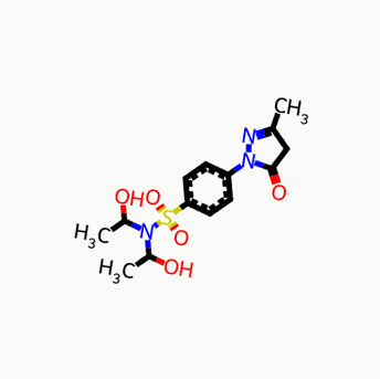 CC1=NN(c2ccc(S(=O)(=O)N(C(C)O)C(C)O)cc2)C(=O)C1